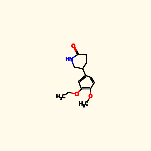 CCOc1cc(C2CCC(=O)NC2)ccc1OC